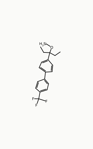 CCC(CC)(O[SiH3])c1ccc(-c2ccc(C(F)(F)F)cc2)cc1